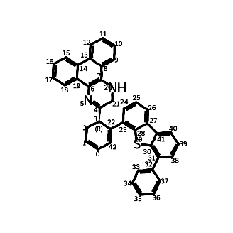 C1=CC[C@@H](C2=Nc3c(c4ccccc4c4ccccc34)NC2)C(c2cccc3c2sc2c(-c4ccccc4)cccc23)=C1